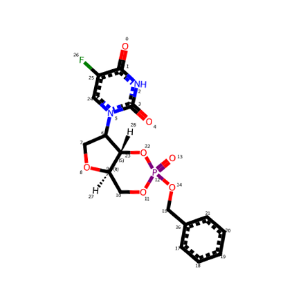 O=c1[nH]c(=O)n(C2CO[C@@H]3COP(=O)(OCc4ccccc4)O[C@@H]23)cc1F